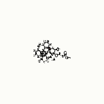 COC(=O)OCOc1c2n(ccc1=O)N([C@@H]1c3ccccc3SCc3cccc(F)c31)[C@@H]1C[C@H](C)CCN1C2=O